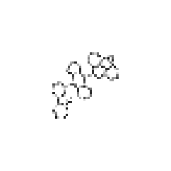 C1=Cc2c(oc3c(-c4c5ccccc5c(-c5cc6cccc7oc8cccc5c8c67)c5ccccc45)cccc23)CC1